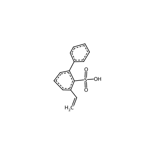 C=Cc1cccc(-c2ccccc2)c1S(=O)(=O)O